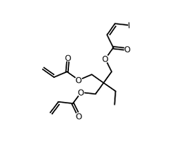 C=CC(=O)OCC(CC)(COC(=O)C=C)COC(=O)/C=C\I